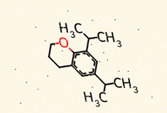 CC(C)c1cc2c(c(C(C)C)c1)OCCC2